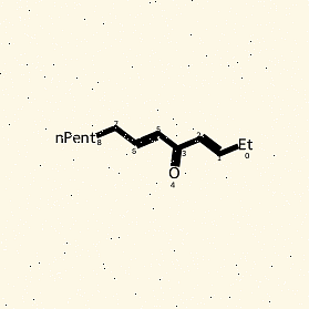 CCC=CC(=O)C=CCCCCCC